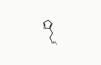 NCCC1=CCC=N1